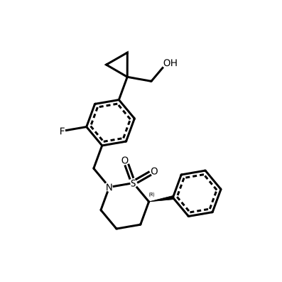 O=S1(=O)[C@@H](c2ccccc2)CCCN1Cc1ccc(C2(CO)CC2)cc1F